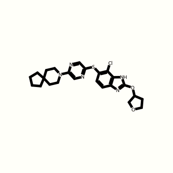 Clc1c(Sc2cnc(N3CCC4(CCCC4)CC3)cn2)ccc2nc(OC3CCOC3)[nH]c12